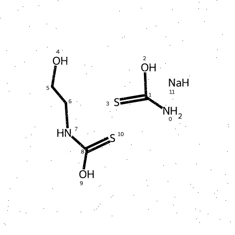 NC(O)=S.OCCNC(O)=S.[NaH]